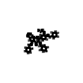 COc1cc2c(c(OCc3ccccc3)c1)C(=O)C(OCc1ccccc1)C(c1ccc(OCc3ccccc3)c(OC)c1)=N2